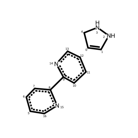 C1=CNNC1.c1ccc(-c2ccccn2)nc1